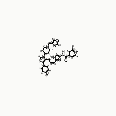 O=C(Nc1cn2nc(-c3c(-c4ccc(F)cc4)ncn3C3CCN(Cc4cocn4)CC3)ccc2n1)c1ccnc(F)c1